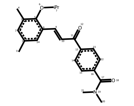 Cc1cc(C)c(OC(C)C)c(C=CC(=O)c2ccc(C(=O)N(C)C)cc2)c1